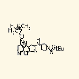 CC(C)(C)OC(=O)N1CCC(Nc2cc(-c3nn(COCC[Si](C)(C)C)c4ccncc34)c(Cl)cn2)CC1